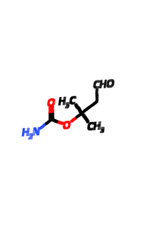 CC(C)(CC=O)OC(N)=O